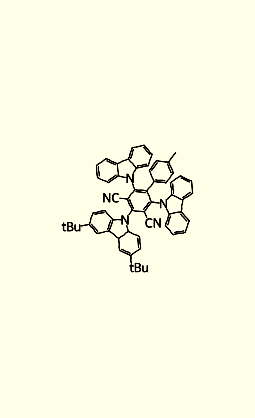 Cc1ccc(-c2c(-n3c4ccccc4c4ccccc43)c(C#N)c(N3c4ccc(C(C)(C)C)cc4C4C=C(C(C)(C)C)C=CC43)c(C#N)c2-n2c3ccccc3c3ccccc32)cc1